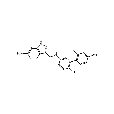 Cc1cc(C#N)ccc1-c1nc(NCc2n[nH]c3nc(N)ccc23)ncc1Cl